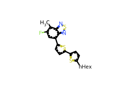 CCCCCCc1ccc(-c2ccc(-c3cc(F)c(C)c4nsnc34)s2)s1